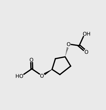 O=C(O)O[C@@H]1CC[C@@H](OC(=O)O)C1